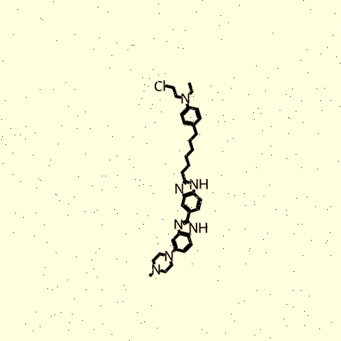 CCN(CCCl)c1ccc(CCCCCCc2nc3cc(-c4nc5cc(N6CCN(C)CC6)ccc5[nH]4)ccc3[nH]2)cc1